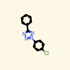 Clc1ccc(-n2nnc(-c3ccccc3)n2)cc1